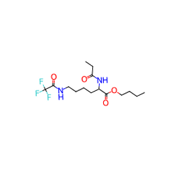 CCCCOC(=O)C(CCCCNC(=O)C(F)(F)F)NC(=O)CC